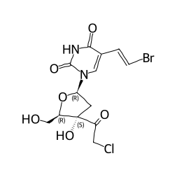 O=C(CCl)[C@]1(O)C[C@H](n2cc(C=CBr)c(=O)[nH]c2=O)O[C@@H]1CO